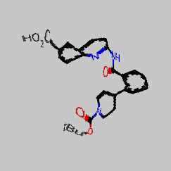 CC(C)(C)OC(=O)N1CCC(c2ccccc2C(=O)Nc2ccc3cc(C(=O)O)ccc3n2)CC1